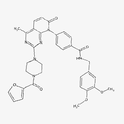 COc1ccc(CNC(=O)c2ccc(-n3c(=O)ccc4c(C)nc(N5CCN(C(=O)c6ccco6)CC5)nc43)cc2)cc1OC